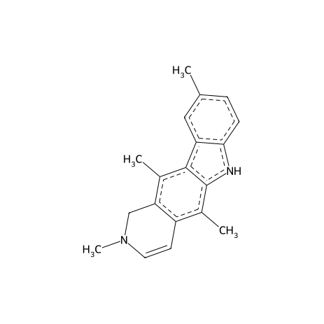 Cc1ccc2[nH]c3c(C)c4c(c(C)c3c2c1)CN(C)C=C4